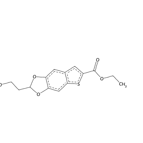 CCOC(=O)c1cc2cc3c(cc2s1)OC(CCO)O3